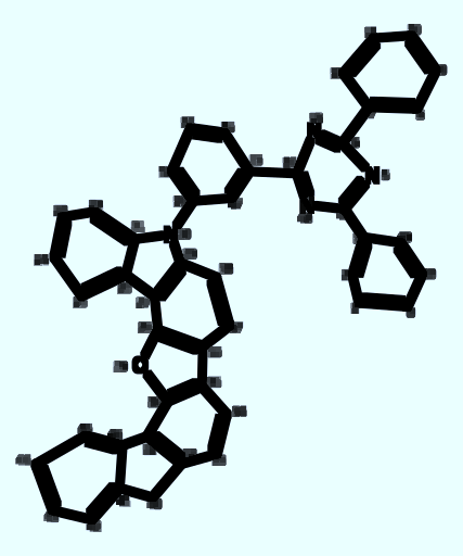 c1ccc(-c2nc(-c3ccccc3)nc(-c3cccc(-n4c5ccccc5c5c6oc7c8c(ccc7c6ccc54)Cc4ccccc4-8)c3)n2)cc1